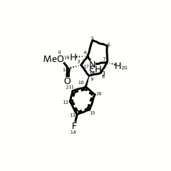 COC(=O)[C@@H]1[C@H]2CC[C@@H](C[C@H]1c1ccc(F)cc1)N2C